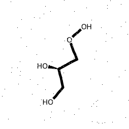 OC[C@@H](O)COO